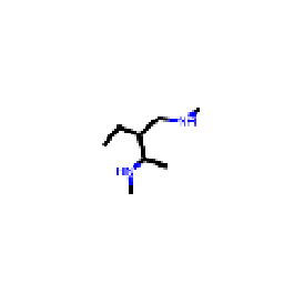 CCC(CNC)C(C)NC